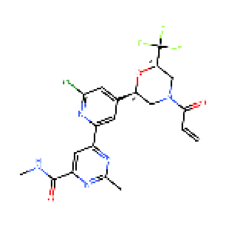 C=CC(=O)N1C[C@@H](c2cc(Cl)nc(-c3cc(C(=O)NC)nc(C)n3)c2)O[C@@H](C(F)(F)F)C1